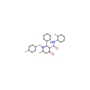 Cc1ccc(Cn2c(C)cc(=O)c(C(=O)Nc3ccccc3C)c2-c2ccccc2)cc1